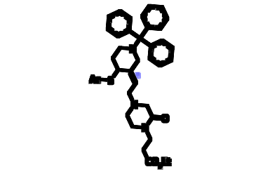 CCOC(=O)CCN1CCN(C/C=C2/CN(C(c3ccccc3)(c3ccccc3)c3ccccc3)CCC2SC(C)=O)CC1=O